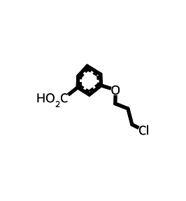 O=C(O)c1cccc(OCCCCl)c1